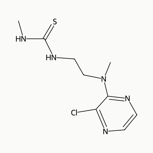 CNC(=S)NCCN(C)c1nccnc1Cl